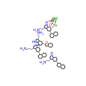 Cl.Cl.Cl.NCCCc1c[nH]c2ccc(-c3cccc4ccccc34)cc12.NCCc1c[nH]c2ccc(-c3cc4ccccc4o3)cc12.NCCc1c[nH]c2ccc(-c3ccc4ccccc4c3)cc12.NCCc1c[nH]c2ccc(-c3cccc4ccccc34)cc12.O=C(O)C(F)(F)F